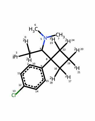 [2H]C([2H])(C(C)C)C(N(C)C)C1(c2ccc(Cl)cc2)C([2H])([2H])C([2H])([2H])C1([2H])[2H]